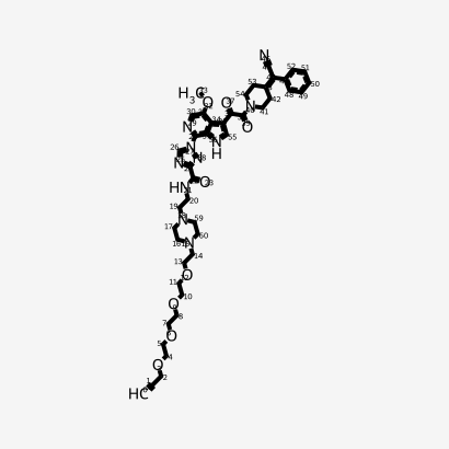 C#CCOCCOCCOCCOCCN1CCN(CCNC(=O)c2ncn(-c3ncc(OC)c4c(C(=O)C(=O)N5CCC(=C(C#N)c6ccccc6)CC5)c[nH]c34)n2)CC1